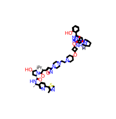 Cc1ncsc1-c1ccc([C@H](C)NC(=O)[C@@H]2C[C@@H](O)CN2C(=O)[C@H](c2cc(N3CCN(CCN4CCC(OC5CC(Oc6cc(N7C8CC[C@@H]7CN(c7cc(-c9ccccc9O)nnc7N)C8)ccn6)C5)CC4)CC3)no2)C(C)C)cn1